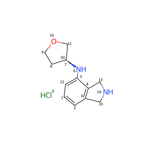 Cl.c1cc2c(c(N[C@H]3CCOC3)c1)CNC2